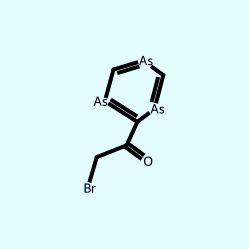 O=C(CBr)C1=[As]C=[As]C=[As]1